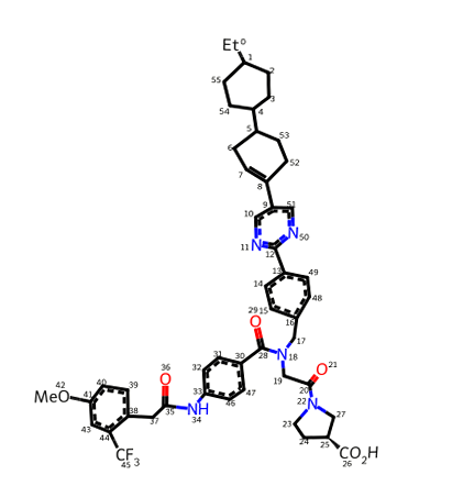 CCC1CCC(C2CC=C(c3cnc(-c4ccc(CN(CC(=O)N5CC[C@H](C(=O)O)C5)C(=O)c5ccc(NC(=O)Cc6ccc(OC)cc6C(F)(F)F)cc5)cc4)nc3)CC2)CC1